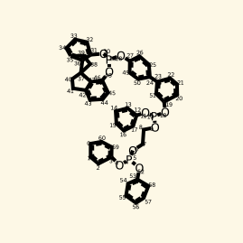 c1ccc(OP(OCCOP(Oc2ccccc2)Oc2cccc(-c3ccc(OP4Oc5cccc6c5C5(CC6)CCc6cccc(c65)O4)cc3)c2)Oc2ccccc2)cc1